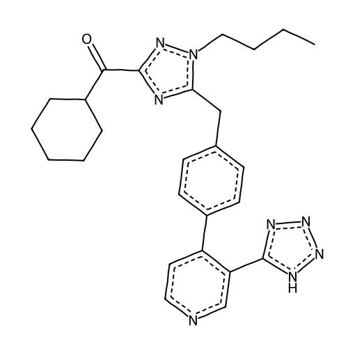 CCCCn1nc(C(=O)C2CCCCC2)nc1Cc1ccc(-c2ccncc2-c2nnn[nH]2)cc1